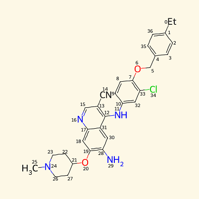 CCc1ccc(COc2ccc(Nc3c(C#N)cnc4cc(OC5CCN(C)CC5)c(N)cc34)cc2Cl)cc1